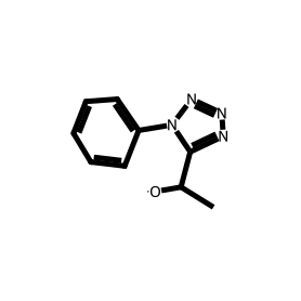 CC([O])c1nnnn1-c1ccccc1